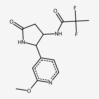 COc1cc(C2NC(=O)CC2NC(=O)C(C)(F)F)ccn1